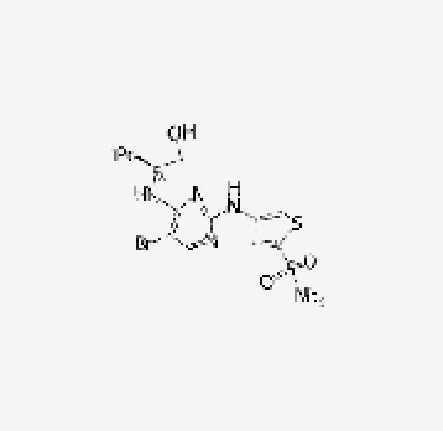 CC(C)[C@@H](CO)Nc1nc(Nc2csc(S(N)(=O)=O)c2)ncc1Br